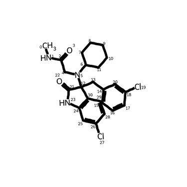 CNC(=O)CN(C1CCCCC1)C1(Cc2cccc(Cl)c2)C(=O)Nc2cc(Cl)ccc21